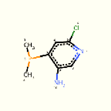 CP(C)c1cc(Cl)ncc1N